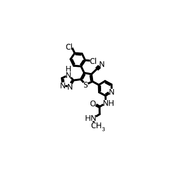 CNCC(=O)Nc1cc(-c2sc(-c3nnc[nH]3)c(-c3ccc(Cl)cc3Cl)c2C#N)ccn1